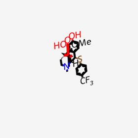 COC1=CC2[C@@H]3[C@H](Sc4ccc(C(F)(F)F)cc4)c4ccc(O)c(O)c4[C@]2(CCN3C)CC1=O